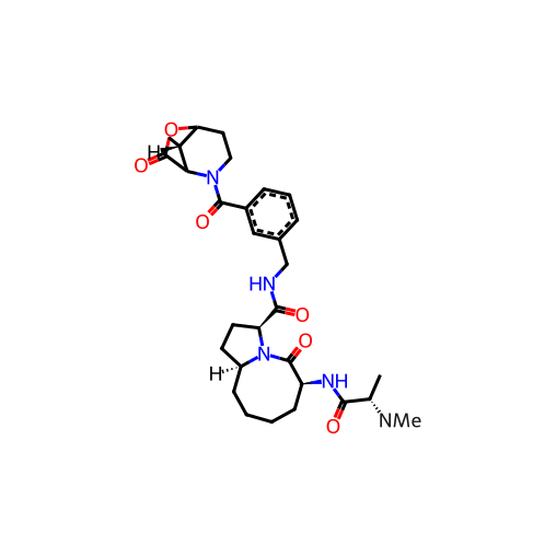 CN[C@@H](C)C(=O)N[C@H]1CCCC[C@H]2CC[C@@H](C(=O)NCc3cccc(C(=O)N4CCC5OC(=O)C4[C@@H]5C)c3)N2C1=O